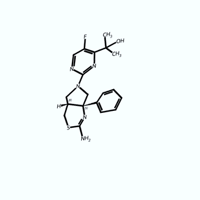 CC(C)(O)c1nc(N2C[C@H]3CSC(N)=N[C@@]3(c3ccccc3)C2)ncc1F